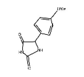 COc1ccc(C2NC(=O)NC2=O)cc1